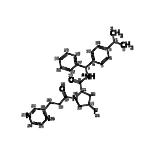 CC(C)c1ccc(C(NC(=O)C2CC(F)CN2C(=O)CCc2cnccn2)c2ccccc2)cc1